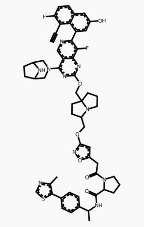 C#Cc1c(F)ccc2cc(O)cc(-c3ncc4c(N5CC6CCC(C5)N6)nc(OCC56CCCN5C(COc5cc(CC(=O)N7CCCC7C(=O)NC(C)c7ccc(-c8scnc8C)cc7)on5)CC6)nc4c3F)c12